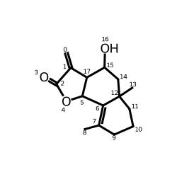 C=C1C(=O)OC2C3=C(C)CCCC3(C)CC(O)C12